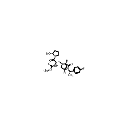 C[C@@H](c1ccc(F)cc1)N1C(=O)[C@@H]2C[C@H]1CN2C[C@H](NC(=O)OC(C)(C)C)C(=O)N1CCC[C@H]1C#N